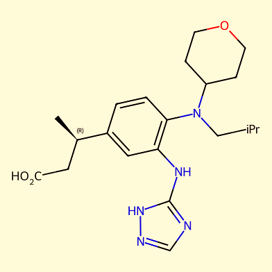 CC(C)CN(c1ccc([C@H](C)CC(=O)O)cc1Nc1ncn[nH]1)C1CCOCC1